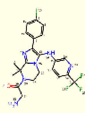 CC1(C)c2nc(-c3ccc(F)cc3)c(Nc3ccc(C(F)(F)F)nc3)n2CCN1C(=O)CN